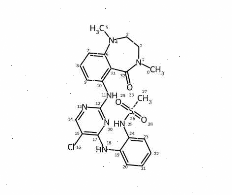 CN1CCN(C)c2cccc(Nc3ncc(Cl)c(Nc4ccccc4NS(C)(=O)=O)n3)c2C1=O